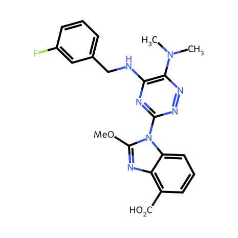 COc1nc2c(C(=O)O)cccc2n1-c1nnc(N(C)C)c(NCc2cccc(F)c2)n1